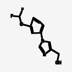 OCc1cn(-c2cccc(OC(F)F)c2)cn1